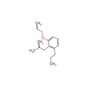 C=CCOc1cccc(CCC)c1CC(=C)C